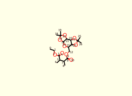 CCOC(=O)C(C)C(C)C(=O)OCC1OC2OC(C)(C)OC2C2OC(C)(C)OC12